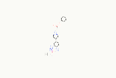 CP1C=Nc2ccc(-c3cc[n+](CCC(=O)OCc4ccccc4)cc3)cc2N=N1